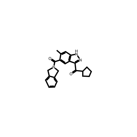 Cc1cc2[nH]nc(C(=O)C3CCCC3)c2cc1C(=O)N1Cc2ccccc2C1